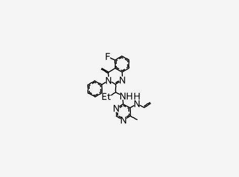 C=CNc1c(C)ncnc1NC(CC)C1=Nc2cccc(F)c2C(=C)N1c1ccccc1